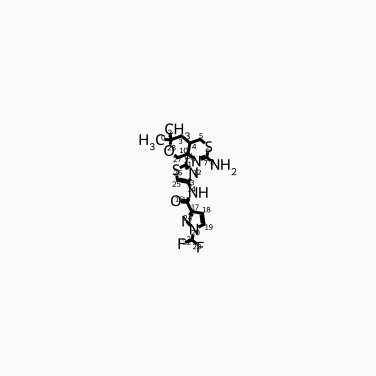 CC1(C)CC2CSC(N)=N[C@]2(c2nc(NC(=O)c3ccn(C(F)F)n3)cs2)CO1